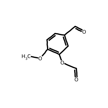 COc1ccc(C=O)cc1OC=O